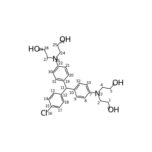 OCCN(CCO)c1ccc(C(c2ccc(Cl)cc2)c2ccc(N(CCO)CCO)cc2)cc1